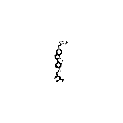 O=C(O)CCN1CCc2nc(-c3ccc(OCc4cccc(F)c4)cc3F)ccc2C1